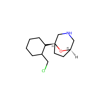 ClCC1CCCCC1[C@@]12CC[C@H](CNC1)O2